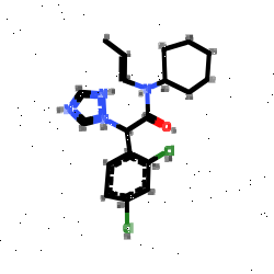 CC=CN(C(=O)C(c1ccc(Cl)cc1Cl)n1cncn1)C1CCCCC1